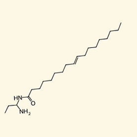 CCCCCCCCC=CCCCCCCCC(=O)NC(N)CC